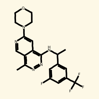 Cc1nnc(NC(C)c2cc(F)cc(C(F)(F)F)c2)c2cc(N3CCOCC3)ncc12